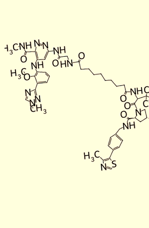 CNC(=O)c1nnc(NC(=O)CNC(=O)CCCCCCCCC(=O)NC(C(=O)N2C[C@H](O)C[C@H]2C(=O)NCc2ccc(-c3scnc3C)cc2)C(C)(C)C)cc1Nc1cccc(-c2ncn(C)n2)c1OC